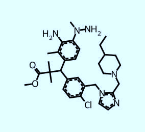 CCC1CCN(Cc2nccn2Cc2cc(C(c3ccc(N(C)N)c(N)c3C)C(C)(C)C(=O)OC)ccc2Cl)CC1